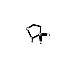 O=S1(=O)CCON1